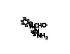 Nc1nc(/C([C]=O)=N/OC2C=CCCC2)cs1